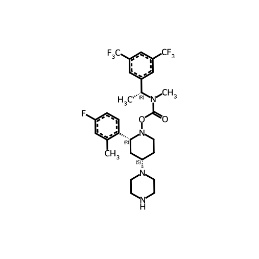 Cc1cc(F)ccc1[C@H]1C[C@@H](N2CCNCC2)CCN1OC(=O)N(C)[C@H](C)c1cc(C(F)(F)F)cc(C(F)(F)F)c1